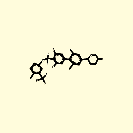 Cc1ccc(OC(F)(F)c2c(F)cc(-c3c(C)cc(C4CCC(C)CO4)cc3C)cc2F)cc1C(F)(F)F